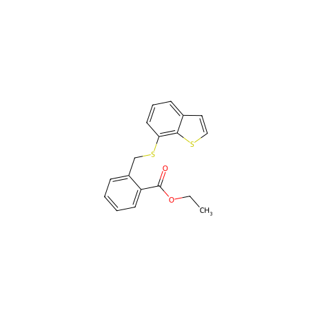 CCOC(=O)c1ccccc1CSc1cccc2ccsc12